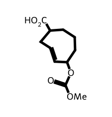 COC(=O)OC1/C=C/CC(C(=O)O)CCC1